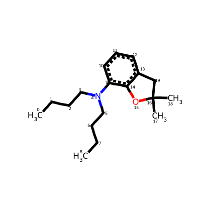 CCCCN(CCCC)c1cccc2c1OC(C)(C)C2